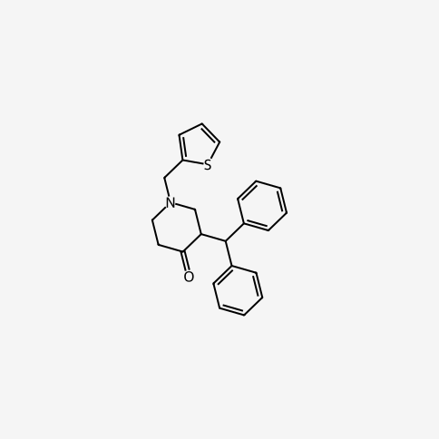 O=C1CCN(Cc2cccs2)CC1C(c1ccccc1)c1ccccc1